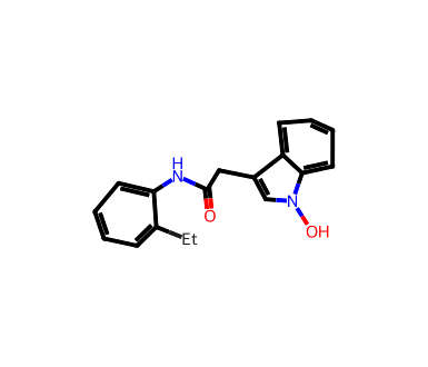 CCc1ccccc1NC(=O)Cc1cn(O)c2ccccc12